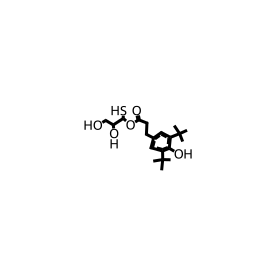 CC(C)(C)c1cc(CCC(=O)OC(S)C(O)CO)cc(C(C)(C)C)c1O